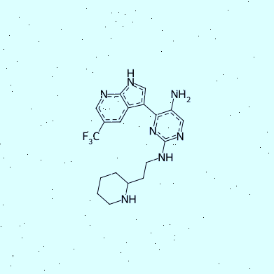 Nc1cnc(NCCC2CCCCN2)nc1-c1c[nH]c2ncc(C(F)(F)F)cc12